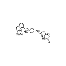 COc1ccc2cccc(CC[C@]3(O)CC[C@@H](NCc4ccc5c(n4)NC(=O)CO5)CC3)c2n1